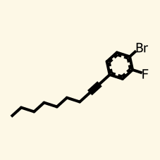 CCCCCCCC#Cc1ccc(Br)c(F)c1